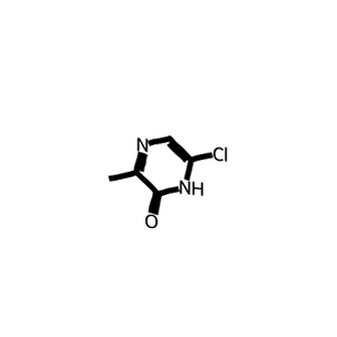 Cc1ncc(Cl)[nH]c1=O